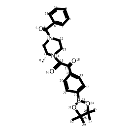 C[C@@H]1CN(C(=O)c2ccccc2)CCN1C(=O)C(=O)c1ccc(B2OC(C)(C)C(C)(C)O2)cc1